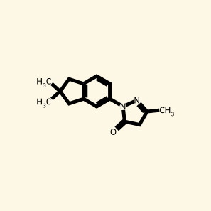 CC1=NN(c2ccc3c(c2)CC(C)(C)C3)C(=O)C1